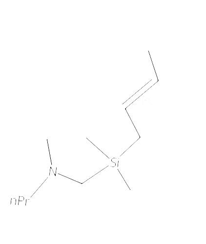 C/C=C/C[Si](C)(C)CN(C)CCC